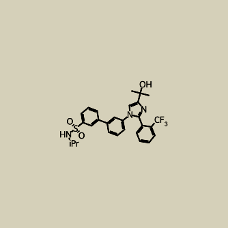 CC(C)NS(=O)(=O)c1cccc(-c2cccc(-n3cc(C(C)(C)O)nc3-c3ccccc3C(F)(F)F)c2)c1